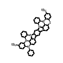 CC(C)(C)c1ccc2c(c1)B1c3ccccc3-n3c4cc5c(cc4c4ccc(c1c43)S2)c1ccc2c3c1n5-c1ccccc1B3c1cc(C(C)(C)C)ccc1N2c1ccccc1